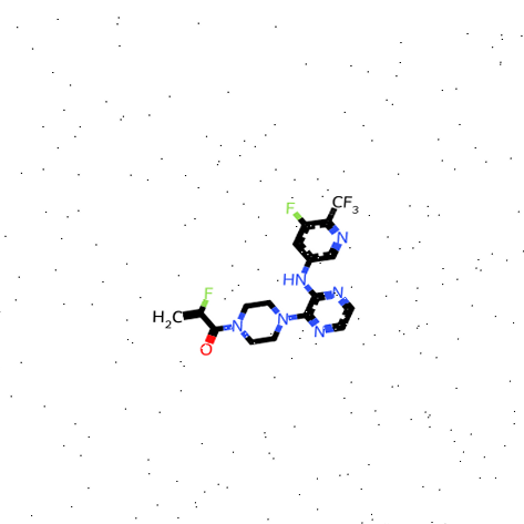 C=C(F)C(=O)N1CCN(c2nccnc2Nc2cnc(C(F)(F)F)c(F)c2)CC1